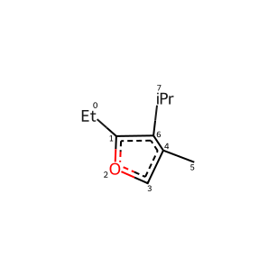 CCc1occ(C)c1C(C)C